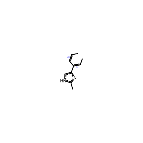 C/C=C\C(=C/C)c1c[nH]c(C)n1